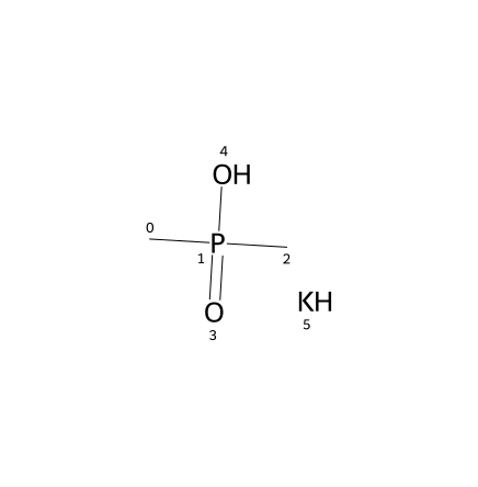 CP(C)(=O)O.[KH]